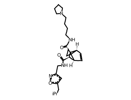 CC(C)Cc1cc(CNC(=O)[C@H]2[C@H](C(=O)NCCCCN3CCCC3)[C@H]3C=C[C@@H]2C32CC2)no1